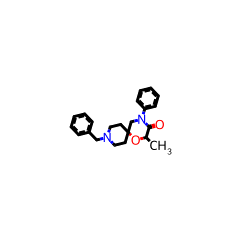 CC1OC2(CCN(Cc3ccccc3)CC2)CN(c2ccccc2)C1=O